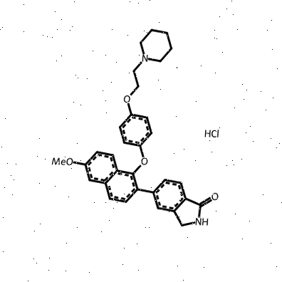 COc1ccc2c(Oc3ccc(OCCN4CCCCC4)cc3)c(-c3ccc4c(c3)CNC4=O)ccc2c1.Cl